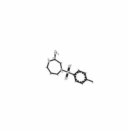 Cc1ccc(S(=O)(=O)N2CCCO[C@@H](C(F)(F)F)C2)cc1